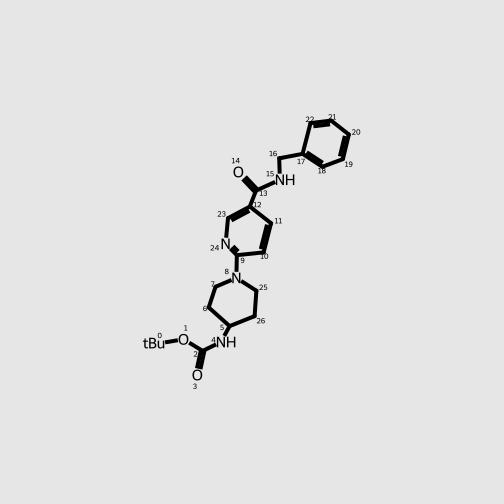 CC(C)(C)OC(=O)NC1CCN(c2ccc(C(=O)NCc3ccccc3)cn2)CC1